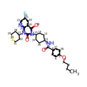 CCCCOc1ccc(C(=O)NC2CCC(n3c(=O)c4cc(F)cnc4n(C4CCSCC4)c3=O)CC2)cc1